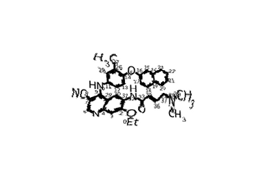 CCOc1cc2ncc(C#N)c(Nc3ccc(Oc4ccc5ccccc5c4)c(C)c3)c2cc1NC(=O)/C=C/CN(C)C